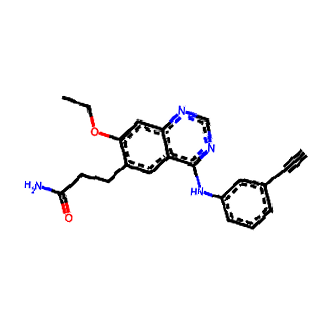 C#Cc1cccc(Nc2ncnc3cc(OCC)c(CCC(N)=O)cc23)c1